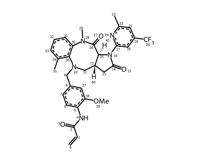 C=CC(=O)Nc1ccc(CN2C[C@H]3CC(=O)N(c4cc(C(F)(F)F)cc(C)n4)[C@@H]3C(=O)N(C)c3cccc(C)c32)cc1OC